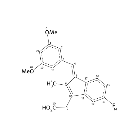 COc1cc(C=C2C(C)=C(CC(=O)O)c3cc(F)ccc32)cc(OC)c1